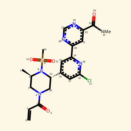 C=CC(=O)N1C[C@@H](C)N(S(C)(=O)=O)[C@H](c2cc(Cl)nc(-c3cc(C(=O)NC)ncn3)c2)C1